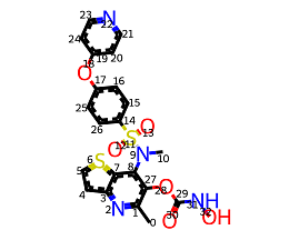 Cc1nc2ccsc2c(N(C)S(=O)(=O)c2ccc(Oc3ccncc3)cc2)c1OC(=O)NO